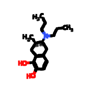 CCCN(CCC)[C@@H]1Cc2ccc(O)c(O)c2C[C@H]1C